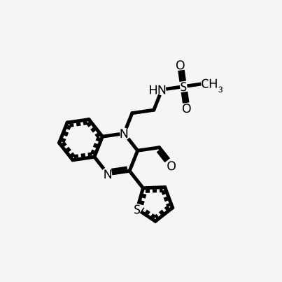 CS(=O)(=O)NCCN1c2ccccc2N=C(c2cccs2)C1C=O